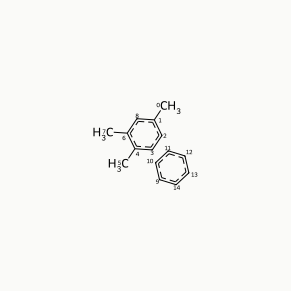 Cc1ccc(C)c(C)c1.c1ccccc1